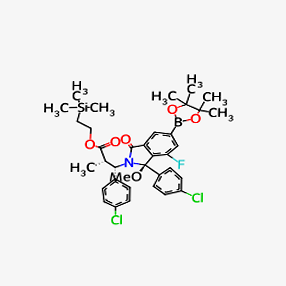 CO[C@]1(c2ccc(Cl)cc2)c2c(F)cc(B3OC(C)(C)C(C)(C)O3)cc2C(=O)N1[C@H](c1ccc(Cl)cc1)[C@H](C)C(=O)OCC[Si](C)(C)C